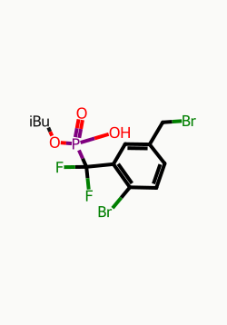 CCC(C)OP(=O)(O)C(F)(F)c1cc(CBr)ccc1Br